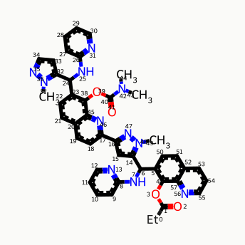 CCC(=O)Oc1c(C(Nc2ccccn2)c2cc(-c3ccc4ccc(C(Nc5ccccn5)c5ccnn5C)c(OC(=O)N(C)C)c4n3)nn2C)ccc2cccnc12